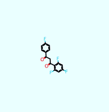 O=C(CC(=O)c1c(F)cc(F)cc1F)c1ccc(F)cc1